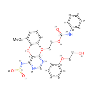 COc1ccccc1Oc1c(N=S(=O)=O)ncnc1OCCOC(=O)Nc1ccccc1.OCCOc1ccccc1